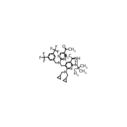 CC(=N)c1cc(CN(Cc2cc(C(F)(F)F)cc(C(F)(F)F)c2)c2ncc(C(C)=O)cn2)c(N(CC2CC2)CC2CC2)nc1NC(C)(C)C